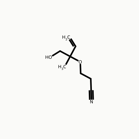 C=CC(C)(CO)OCCC#N